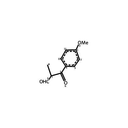 COc1ccc(C(=O)C(C)C=O)cc1